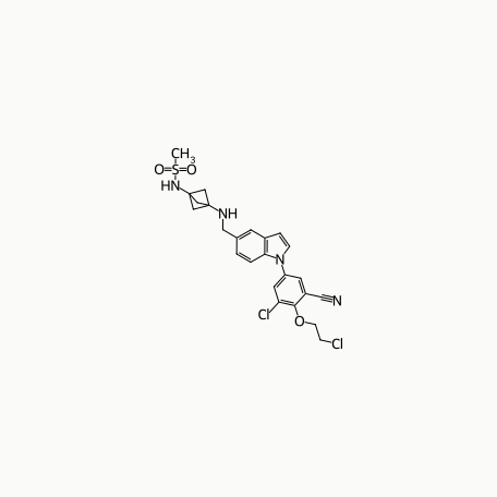 CS(=O)(=O)NC12CC(NCc3ccc4c(ccn4-c4cc(Cl)c(OCCCl)c(C#N)c4)c3)(C1)C2